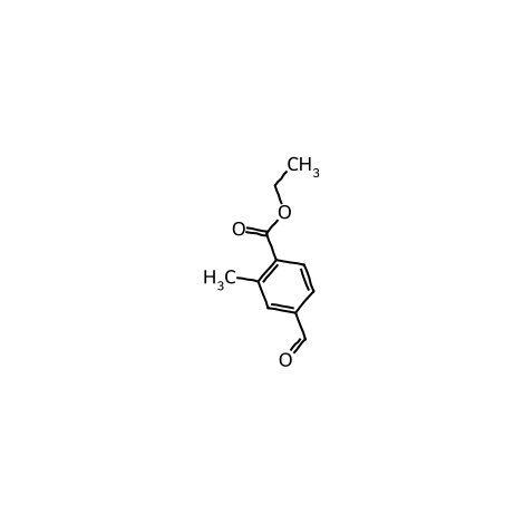 CCOC(=O)c1ccc(C=O)cc1C